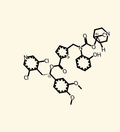 COc1ccc([C@H](Cc2c(Cl)cncc2Cl)OC(=O)c2ccc(CN(C(=O)O[C@H]3CN4CCC3CC4)c3ccccc3O)s2)cc1OC